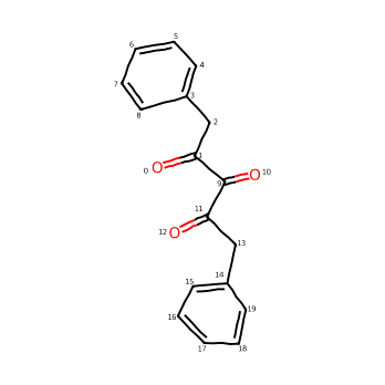 O=C(Cc1ccccc1)C(=O)C(=O)Cc1ccccc1